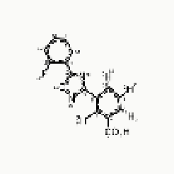 [2H]c1c([2H])c(C(=O)O)c([2H])c(-c2noc(-c3ccccc3F)n2)c1[2H]